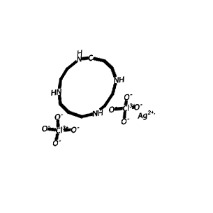 C1CNCCNCCCNCCNC1.[Ag+2].[O-][Cl+3]([O-])([O-])[O-].[O-][Cl+3]([O-])([O-])[O-]